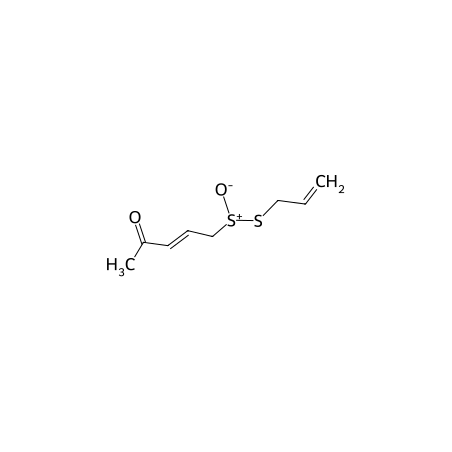 C=CCS[S+]([O-])CC=CC(C)=O